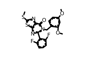 COc1ccc(Cn2c(-c3c(F)cccc3F)nc3sc(SC)nc3c2=O)c(OC)c1